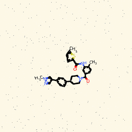 Cc1ccc(C(=O)Nc2cc(C(=O)N3CCC(c4ccc(-c5cnn(C)c5)cc4)CC3)ccc2C)s1